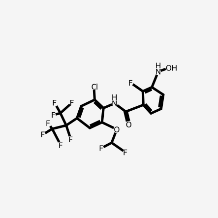 O=C(Nc1c(Cl)cc(C(F)(C(F)(F)F)C(F)(F)F)cc1OC(F)F)c1cccc(NO)c1F